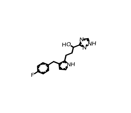 OC(CCc1[nH]ccc1Cc1ccc(F)cc1)c1nc[nH]n1